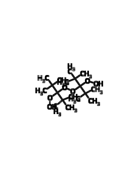 CC(C)(C)C(OO)(OOC(OO)(C(C)(C)C)C(C)(C)C)C(C)(C)C